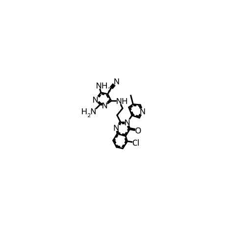 Cc1cncc(-n2c(CCNc3nc(N)nc(N)c3C#N)nc3cccc(Cl)c3c2=O)c1